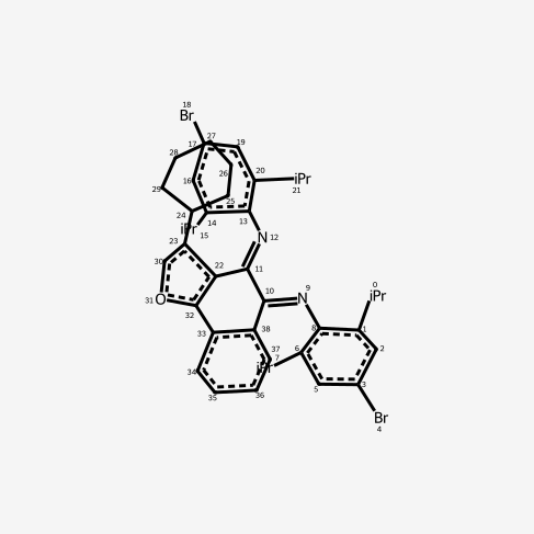 CC(C)c1cc(Br)cc(C(C)C)c1/N=C1/C(=N/c2c(C(C)C)cc(Br)cc2C(C)C)c2c(C3CCCCC3)coc2-c2ccccc21